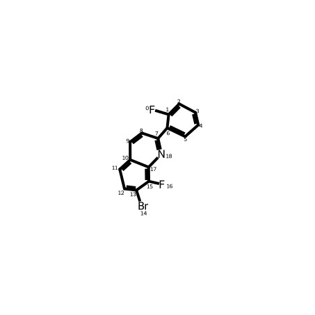 Fc1ccccc1-c1ccc2ccc(Br)c(F)c2n1